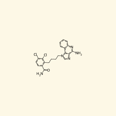 NC(=O)c1ccc(Cl)c(Cl)c1CCCCn1cnc2c(N)nc3ccccc3c21